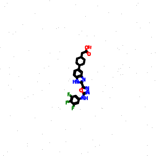 O=C(O)CC1CCC(c2ccc3[nH]c(-c4nnc(Nc5cc(F)c(F)c(F)c5)o4)nc3c2)CC1